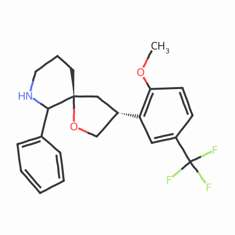 COc1ccc(C(F)(F)F)cc1[C@@H]1CO[C@@]2(CCCNC2c2ccccc2)C1